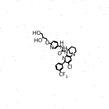 O=C(Nc1ccc(OC[C@@H](O)CO)nc1)N1c2nc(-c3cccc(C(F)(F)F)c3)c(Cl)cc2N2CCC[C@H]1C2